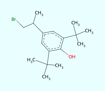 CC(CBr)c1cc(C(C)(C)C)c(O)c(C(C)(C)C)c1